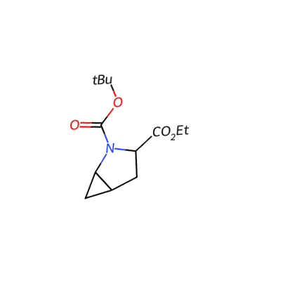 CCOC(=O)C1CC2CC2N1C(=O)OC(C)(C)C